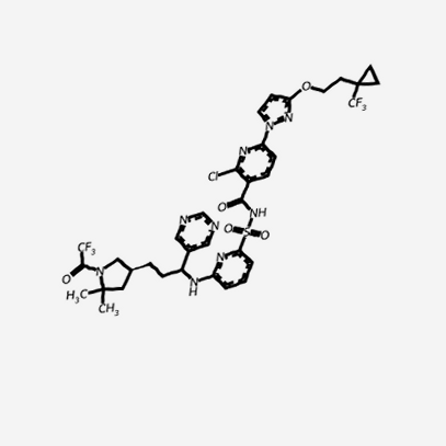 CC1(C)C[C@H](CCC(Nc2cccc(S(=O)(=O)NC(=O)c3ccc(-n4ccc(OCCC5(C(F)(F)F)CC5)n4)nc3Cl)n2)c2cncnc2)CN1C(=O)C(F)(F)F